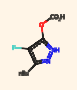 CCCCc1n[nH]c(OC(=O)O)c1F